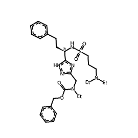 CCN(CC)CCCS(=O)(=O)N[C@H](CCc1ccccc1)c1nc(CN(CC)C(=O)OCc2ccccc2)n[nH]1